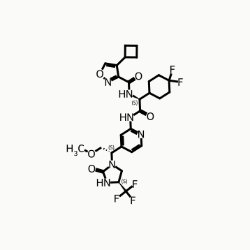 COC[C@H](c1ccnc(NC(=O)[C@@H](NC(=O)c2nocc2C2CCC2)C2CCC(F)(F)CC2)c1)N1C[C@@H](C(F)(F)F)NC1=O